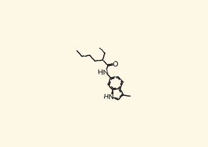 CCCCC(CC)C(=O)Nc1ccc2c(C)c[nH]c2c1